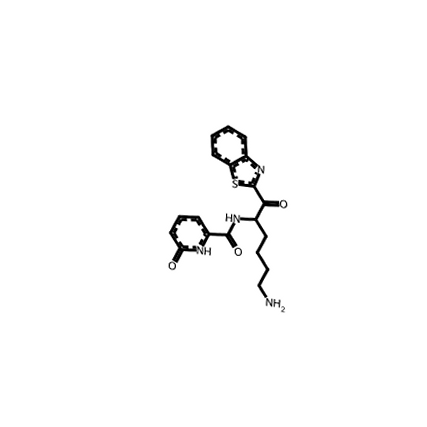 NCCCCC(NC(=O)c1cccc(=O)[nH]1)C(=O)c1nc2ccccc2s1